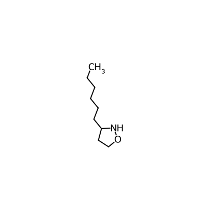 CCCCCCC1CCON1